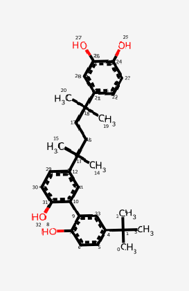 CC(C)(C)c1ccc(O)c(-c2cc(C(C)(C)CCC(C)(C)c3ccc(O)c(O)c3)ccc2O)c1